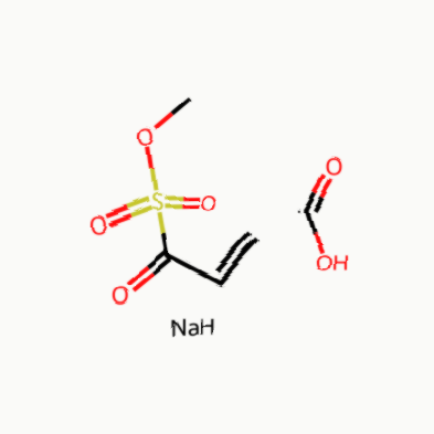 C=CC(=O)S(=O)(=O)OC.O=[C]O.[NaH]